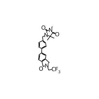 CN1C(=O)N(Cc2ccc(-c3ccc4c(c3)CN(CC(F)(F)F)C4=O)cc2)C(C)(C)C1=O